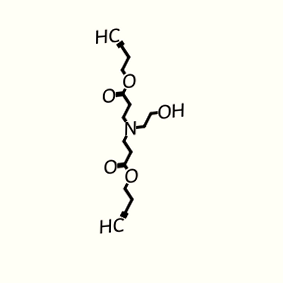 C#CCCOC(=O)CCN(CCO)CCC(=O)OCCC#C